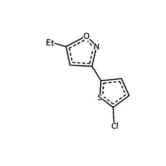 CCc1cc(-c2ccc(Cl)s2)no1